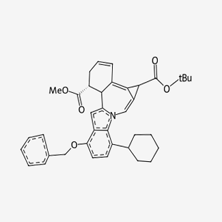 COC(=O)[C@@H]1CC=CC2=C3C(=Cn4c(cc5c(OCc6ccccc6)ccc(C6CCCCC6)c54)C21)C3C(=O)OC(C)(C)C